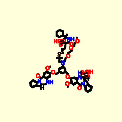 COCCOCCOCCN(CC(C)(C)SSCCC(C(=O)NC(C)(C)C1CCCCC1)S(=O)(=O)O)c1cc(COc2cc3c(cc2OC)C(=O)N2c4ccccc4C[C@H]2CN3)cc(COc2cc3c(cc2OC)C(=O)N2c4ccccc4C[C@H]2C(S(=O)(=O)O)N3)c1